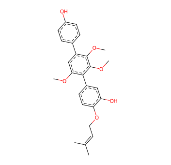 COc1cc(-c2ccc(O)cc2)c(OC)c(OC)c1-c1ccc(OCC=C(C)C)c(O)c1